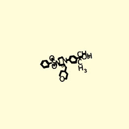 CC(C)(O)c1ccc(N2CCN(S(=O)(=O)c3ccccc3)C[C@@H]2CC2CCOCC2)cc1